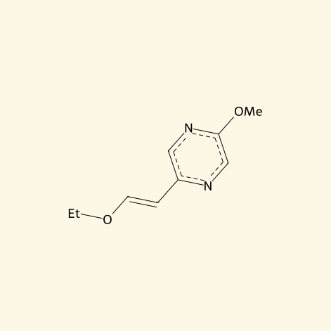 CCO/C=C/c1cnc(OC)cn1